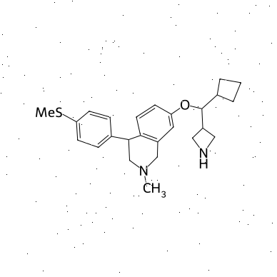 CSc1ccc(C2CN(C)Cc3cc(OC(C4CCC4)C4CNC4)ccc32)cc1